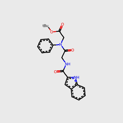 CC(C)(C)OC(=O)CN(C(=O)CNC(=O)c1cc2ccccc2[nH]1)c1ccccc1